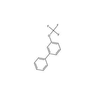 FC(F)(F)Oc1cc[c]c(-c2ccccc2)c1